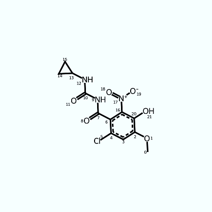 COc1cc(Cl)c(C(=O)NC(=O)NC2CC2)c([N+](=O)[O-])c1O